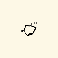 C1=CNCNC1.I